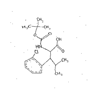 CC(C)C(c1ccccc1Cl)C(NC(=O)OC(C)(C)C)C(=O)O